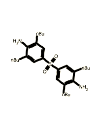 CCCCc1cc(S(=O)(=O)c2cc(CCCC)c(N)c(CCCC)c2)cc(CCCC)c1N